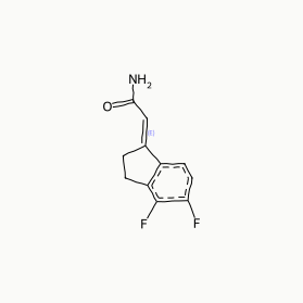 NC(=O)/C=C1\CCc2c1ccc(F)c2F